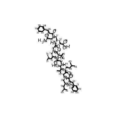 CC(C)CC(=O)N(CC(=O)N[C@@H](CCC(=O)O)CN(CC(N)=O)C(=O)CCc1ccccc1)C[C@H](CC(C)C)NC(=O)CN(C[C@H](CC(C)C)NC(=O)CN(C[C@@H](N)CC(C)C)C(=O)CCc1ccccc1)C(O)CC(C)C